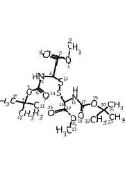 COC(=O)C(NC(=O)OC(C)(C)C)SSC(NC(=O)OC(C)(C)C)C(=O)OC